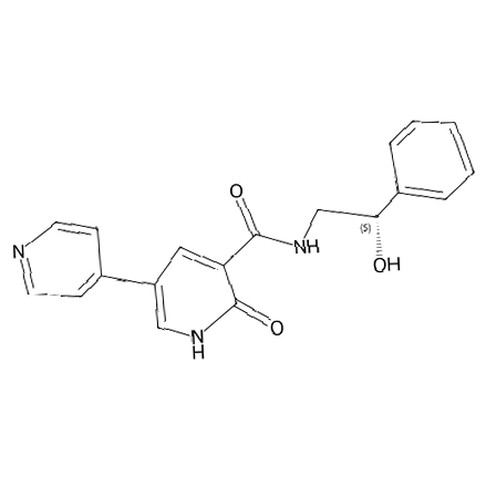 O=C(NC[C@@H](O)c1ccccc1)c1cc(-c2ccncc2)c[nH]c1=O